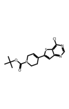 CC(C)(C)OC(=O)N1CC=C(c2cc3ncnc(Cl)c3s2)CC1